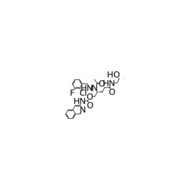 CC(=O)N(NCc1cccc(F)c1Cl)[C@@H](CCC(=O)NC[C@@H](C)O)COC(=O)Nc1cc2ccccc2cn1